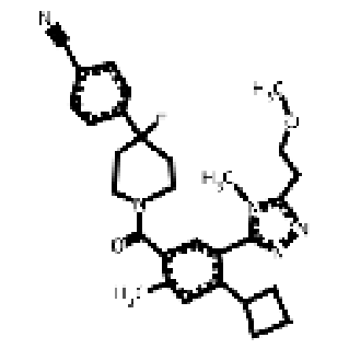 COCCc1nnc(-c2cc(C(=O)N3CCC(F)(c4ccc(C#N)cc4)CC3)c(C)cc2C2CCC2)n1C